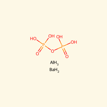 O=P(O)(O)OP(=O)(O)O.[AlH3].[BaH2]